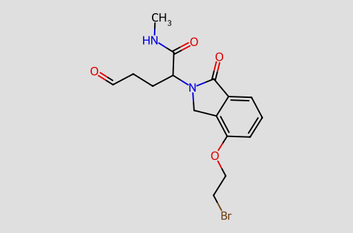 CNC(=O)C(CCC=O)N1Cc2c(OCCBr)cccc2C1=O